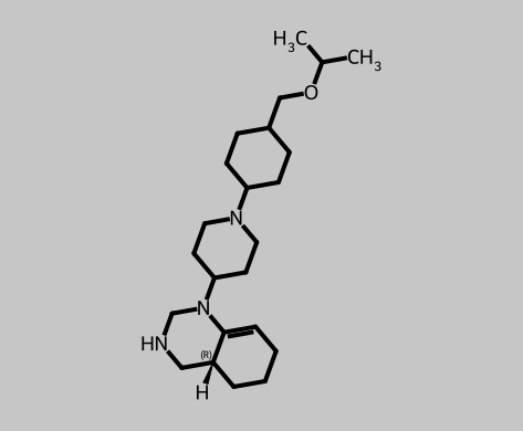 CC(C)OCC1CCC(N2CCC(N3CNC[C@H]4CCCC=C43)CC2)CC1